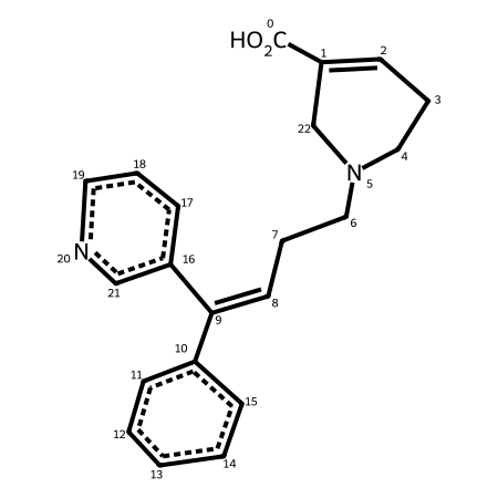 O=C(O)C1=CCCN(CCC=C(c2ccccc2)c2cccnc2)C1